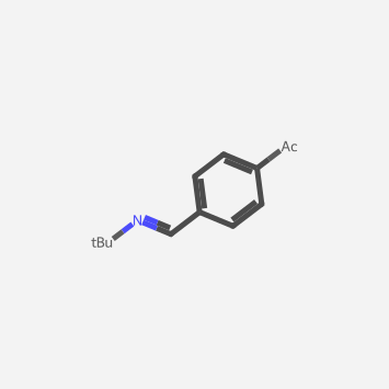 CC(=O)c1ccc(C=NC(C)(C)C)cc1